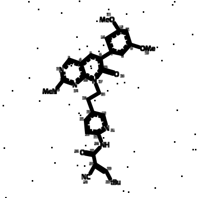 CNc1ncc2cc(-c3cc(OC)cc(OC)c3)c(=O)n(CCc3ccc(NC(=O)C(C#N)=CC(C)(C)C)nc3)c2n1